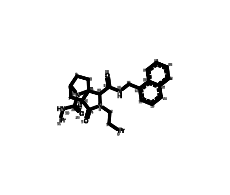 CC(C)CCN1C(=O)[C@H]2CC3CCC2(C1C(=O)NCc1cccc2ccccc12)N3C(=O)NC(C)C